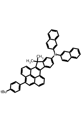 CC(C)(C)c1ccc(-c2cc3cccc4c5c(c6cccc2c6c34)C(C)(C)c2cc(N(c3ccc4ccccc4c3)c3ccc4ccccc4c3)ccc2-5)cc1